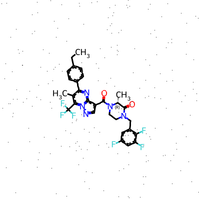 CCc1ccc(-c2nc3c(C(=O)N4CCN(Cc5cc(F)cc(F)c5F)C(=O)[C@H]4C)cnn3c(C(F)(F)F)c2C)cc1